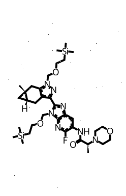 C[C@@H](C(=O)Nc1cc2nc(-c3nn(COCC[Si](C)(C)C)c4c3C[C@@H]3C[C@]3(C)C4)n(COCC[Si](C)(C)C)c2nc1F)N1CCOCC1